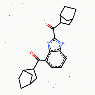 O=C(c1nc2c(C(=O)C3CC4CCC3C4)cccc2[nH]1)C1CC2CCC1C2